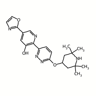 CC1(C)CC(Oc2ccc(-c3ncc(-c4ncco4)cc3O)nn2)CC(C)(C)N1